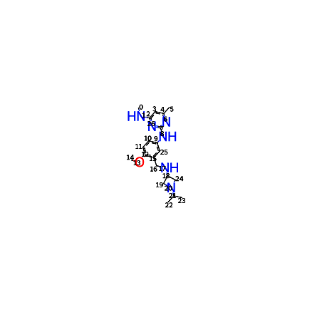 CNc1cc(C)nc(Nc2ccc(OC)c(CNC3CN(C(C)C)C3)c2)n1